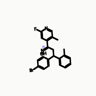 Cc1cnc(F)cc1/C(CC(c1ccc(Br)cc1)c1ccccc1C)=N/O